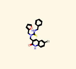 CCc1ccc2[nH]c(=O)c(CN(Cc3ccco3)C(=S)NCc3ccccc3)cc2c1